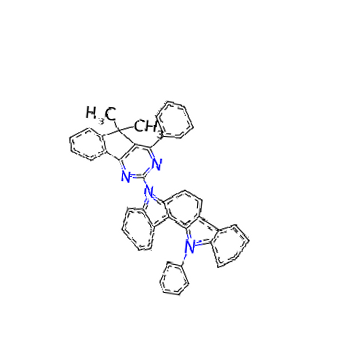 CC1(C)c2ccccc2-c2nc(-n3c4ccccc4c4c3ccc3c5ccccc5n(-c5ccccc5)c34)nc(-c3ccccc3)c21